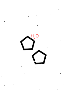 C1CCCC1.C1CCCC1.O